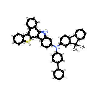 CC1(C)c2ccccc2-c2ccc(N(c3ccc(-c4ccccc4)cc3)c3ccc4c(c3)[nH]c3c5ccccc5c5c6ccccc6sc5c43)cc21